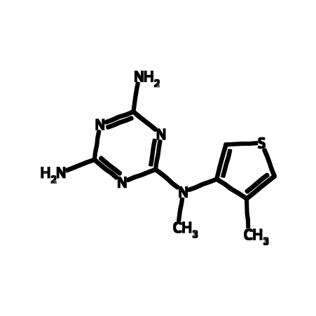 Cc1cscc1N(C)c1nc(N)nc(N)n1